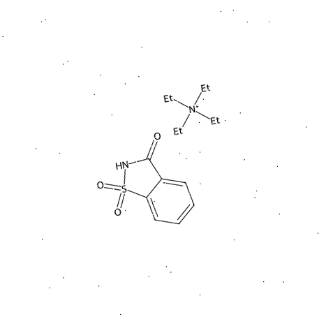 CC[N+](CC)(CC)CC.O=C1NS(=O)(=O)c2ccccc21